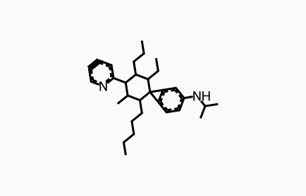 CCCCCC1C(C)C(c2cc#ccn2)C(CCC)C(CC)C12c1ccc(NC(C)C)cc12